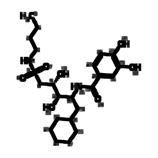 CCCCNS(=O)(=O)C[C@H](O)[C@H](O)[C@H](CC1CCCCC1)NC(=O)c1ccc(O)c(O)c1